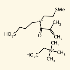 C=C(C)C(=O)[S+](CCCS(=O)(=O)O)CCSC.C[N+](C)(C)CC(=O)O